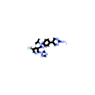 C=C(C)n1c(-c2cc(Cl)cnc2-n2cncn2)nc2cc(-c3cnc(N)nc3)ccc21